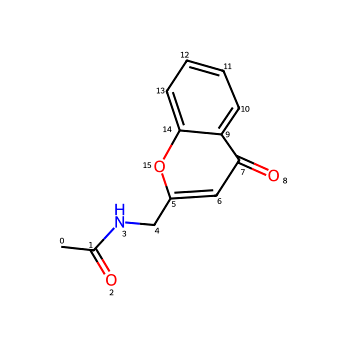 CC(=O)NCc1cc(=O)c2ccccc2o1